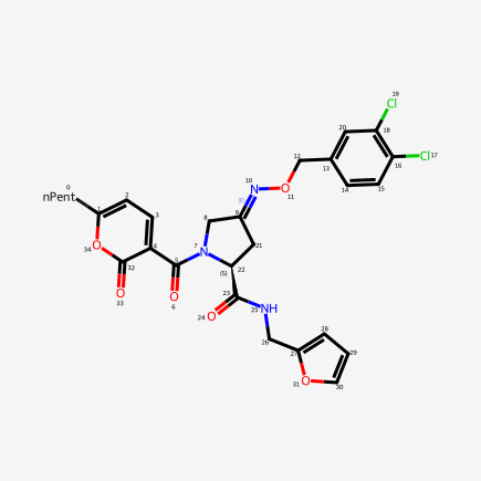 CCCCCc1ccc(C(=O)N2C/C(=N/OCc3ccc(Cl)c(Cl)c3)C[C@H]2C(=O)NCc2ccco2)c(=O)o1